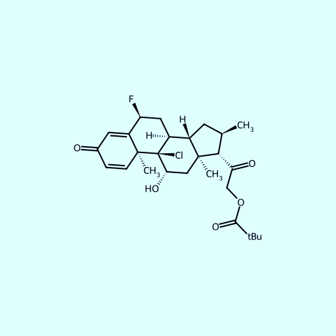 C[C@@H]1C[C@H]2[C@@H]3C[C@H](F)C4=CC(=O)C=C[C@]4(C)[C@@]3(Cl)[C@@H](O)C[C@]2(C)[C@H]1C(=O)COC(=O)C(C)(C)C